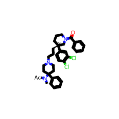 CC(=O)N(C)C1(c2ccccc2)CCN(CCC[C@@]2(c3ccc(Cl)c(Cl)c3)CCCN(C(=O)c3ccccc3)C2)CC1